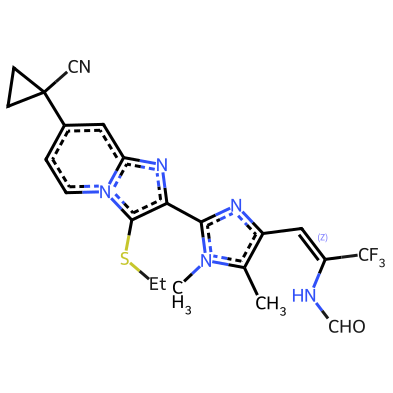 CCSc1c(-c2nc(/C=C(\NC=O)C(F)(F)F)c(C)n2C)nc2cc(C3(C#N)CC3)ccn12